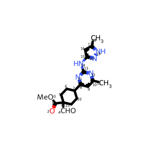 COC(=O)C1(C=O)CCC(c2cc(C)nc(Nc3cc(C)[nH]n3)n2)CC1